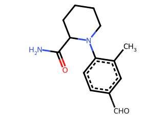 Cc1cc(C=O)ccc1N1CCCCC1C(N)=O